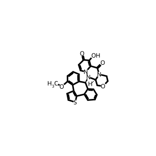 COc1cccc2c1-c1ccsc1-c1ccccc1[C@@H]2N1[C@@H]2COCCN2C(=O)c2c(O)c(=O)ccn21